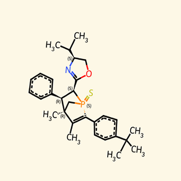 CC1=C(c2ccc(C(C)(C)C)cc2)[P@]2(=S)C[C@]1(C)[C@@H](c1ccccc1)[C@H]2C1=N[C@@H](C(C)C)CO1